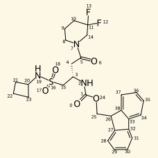 O=C(N[C@@H](CC(=O)N1CCCC(F)(F)C1)CS(=O)(=O)NC1CCC1)OCC1c2ccccc2-c2ccccc21